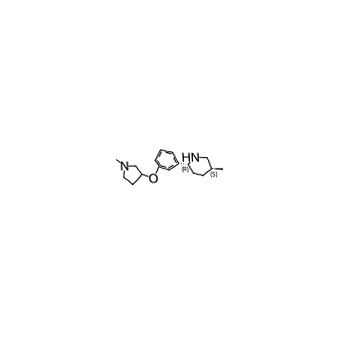 C[C@H]1CC[C@H](c2cccc(OC3CCN(C)C3)c2)NC1